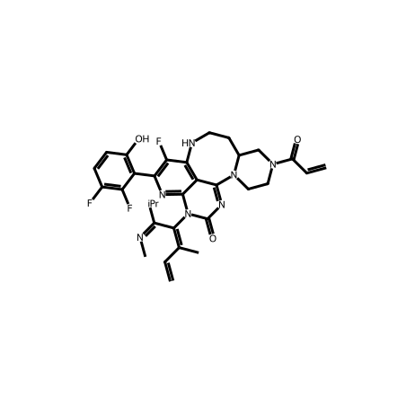 C=CC(=O)N1CCN2c3nc(=O)n(C(/C(=N\C)C(C)C)=C(\C)C=C)c4nc(-c5c(O)ccc(F)c5F)c(F)c(c34)NCCC2C1